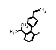 C=Cc1ccc(C2=C(C(C)C)[CH]CC=C2F)cc1